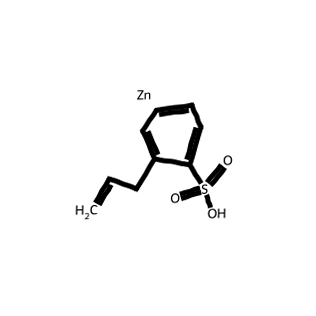 C=CCc1ccccc1S(=O)(=O)O.[Zn]